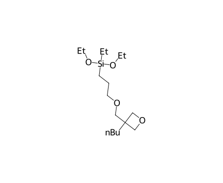 CCCCC1(COCCC[Si](CC)(OCC)OCC)COC1